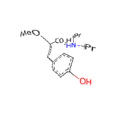 CC(C)NC(C)C.COC(=Cc1ccc(O)cc1)C(=O)O